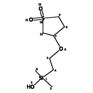 C[Si](C)(O)CCOC1CCS(=O)(=O)C1